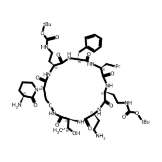 CC(C)C[C@@H]1NC(=O)[C@@H](Cc2ccccc2)NC(=O)[C@H](CCNC(=O)OC(C)(C)C)NC(=O)[C@@H](N2CCC[C@H](N)C2=O)CCNC(=O)[C@H]([C@@H](C)O)NC(=O)[C@H](CCN)NC(=O)[C@H](CCNC(=O)OC(C)(C)C)NC1=O